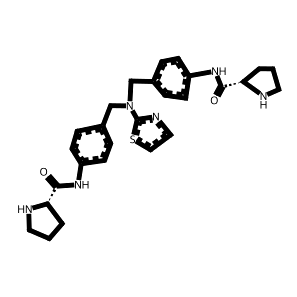 O=C(Nc1ccc(CN(Cc2ccc(NC(=O)[C@@H]3CCCN3)cc2)c2nccs2)cc1)[C@@H]1CCCN1